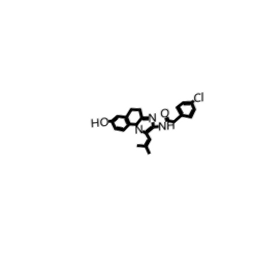 CC(C)=Cc1nc2c(nc1NC(=O)Cc1ccc(Cl)cc1)CCc1cc(O)ccc1-2